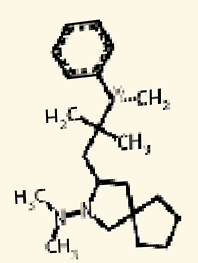 C[C@@H](c1ccccc1)C(C)(C)CC1CC2(CCCC2)CN1N(C)C